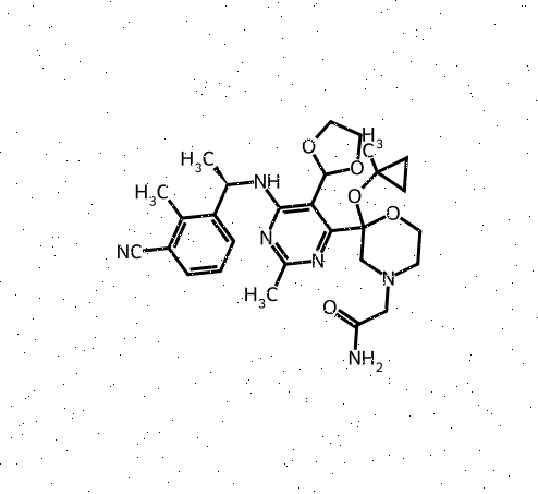 Cc1nc(N[C@H](C)c2cccc(C#N)c2C)c(C2OCCO2)c(C2(OC3(C)CC3)CN(CC(N)=O)CCO2)n1